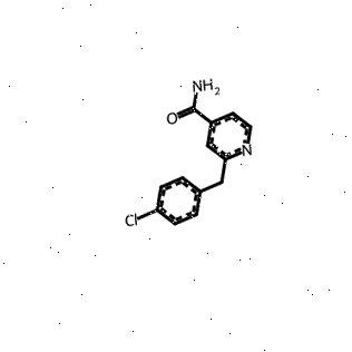 NC(=O)c1ccnc(Cc2ccc(Cl)cc2)c1